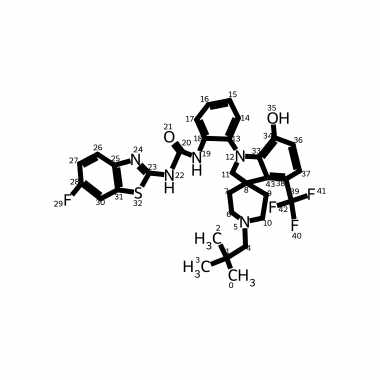 CC(C)(C)CN1CCC2(CC1)CN(c1ccccc1NC(=O)Nc1nc3ccc(F)cc3s1)c1c(O)ccc(C(F)(F)F)c12